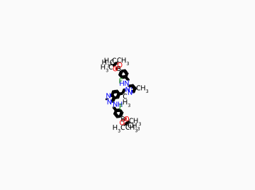 Cc1cn[n+](CC(C)c2ccc3ncnc(NCc4ccc(B5OC(C)(C)C(C)(C)O5)cc4F)c3c2)c(NCc2ccc(B3OC(C)(C)C(C)(C)O3)cc2F)c1